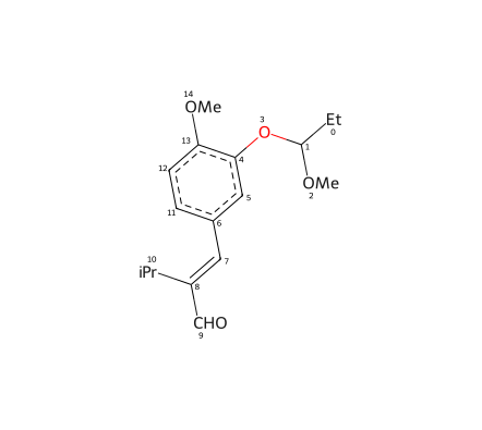 CCC(OC)Oc1cc(C=C(C=O)C(C)C)ccc1OC